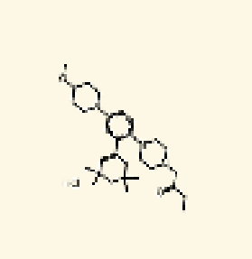 CCC(=O)CN1CCN(c2ccc(N3CCC(OC)CC3)cc2C2=CC(C)(C)CC(C)(C)C2)CC1.Cl